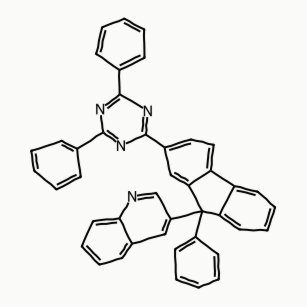 c1ccc(-c2nc(-c3ccccc3)nc(-c3ccc4c(c3)C(c3ccccc3)(c3cnc5ccccc5c3)c3ccccc3-4)n2)cc1